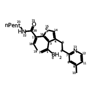 BC(=C)c1c(CCc2cc(C)ccn2)csc1/C(=C\C)C(=O)NCCCCC